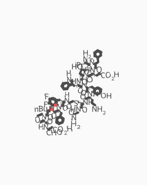 CCCC[C@@H](C(=O)N1CCOC[C@@H]1C(=O)N[C@H](C=O)CC(=O)O)N(C)C(=O)[C@H](Cc1ccccc1)N(C)C(=O)[C@H](Cc1cc(F)c(F)c(F)c1)NC(=O)CSC[C@H](NC(=O)[C@H](CCCN)NC(=O)[C@H](Cc1ccc(O)cc1)NC(=O)[C@H](Cc1c[nH]c2ccccc12)NC(=O)[C@H]1C[C@H](O)CN1C(=O)[C@H](CCC(=O)O)NC(=O)C(Cc1ccccc1)N(C)C(=O)[C@@H](N)C(C)C)C(=O)NCC(N)=O